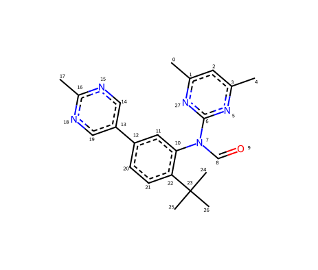 Cc1cc(C)nc(N(C=O)c2cc(-c3cnc(C)nc3)ccc2C(C)(C)C)n1